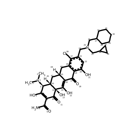 CN(C)[C@@H]1C(O)=C(C(N)=O)C(=O)[C@@]2(O)C(O)=C3C(=O)c4c(O)cc(CN(CC5CCCCC5)CC5CC5)c(Cl)c4C[C@H]3C[C@@H]12